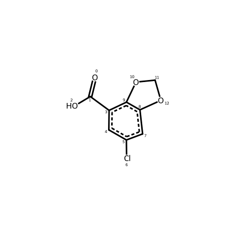 O=C(O)c1cc(Cl)cc2c1OCO2